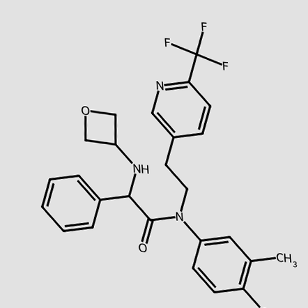 Cc1ccc(N(CCc2ccc(C(F)(F)F)nc2)C(=O)C(NC2COC2)c2ccccc2)cc1C